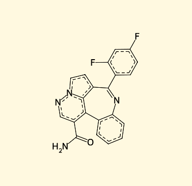 NC(=O)c1cnn2ccc3c2c1-c1ccccc1N=C3c1ccc(F)cc1F